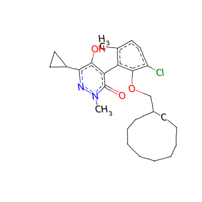 Cc1ccc(Cl)c(OCC2CCCCCCCCC2)c1-c1c(O)c(C2CC2)nn(C)c1=O